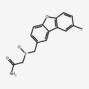 NC(=O)C[S+]([O-])Cc1ccc2oc3ccc(F)cc3c2c1